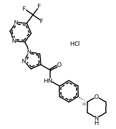 Cl.O=C(Nc1ccc([C@H]2CNCCO2)cc1)c1cnn(-c2cc(C(F)(F)F)ncn2)c1